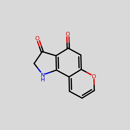 O=C1CNc2c3cccoc-3cc(=O)c21